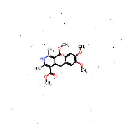 COC(=O)C1=C(C)NC(C)=C(C(=O)OC)C1Cc1ccc(OC)c(OC)c1